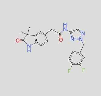 CC1(C)C(=O)Nc2ccc(CC(=O)Nc3cnn(Cc4ccc(F)c(F)c4)n3)cc21